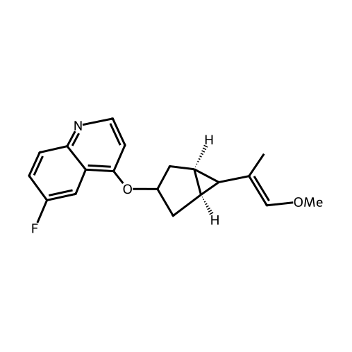 CO/C=C(\C)C1[C@H]2CC(Oc3ccnc4ccc(F)cc34)C[C@@H]12